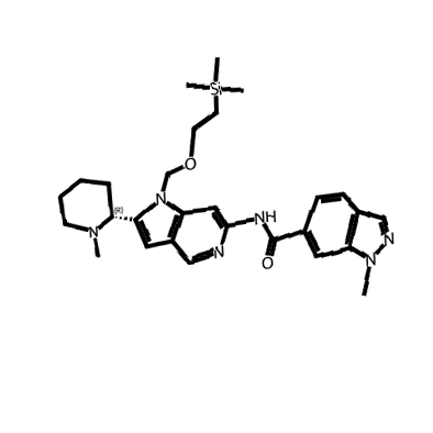 CN1CCCC[C@@H]1c1cc2cnc(NC(=O)c3ccc4cnn(C)c4c3)cc2n1COCC[Si](C)(C)C